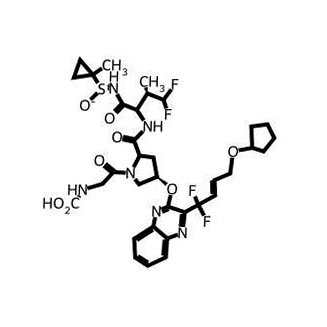 C[C@@H](C(F)F)C(NC(=O)C1C[C@@H](Oc2nc3ccccc3nc2C(F)(F)/C=C/COC2CCCC2)CN1C(=O)CNC(=O)O)C(=O)N[S+]([O-])C1(C)CC1